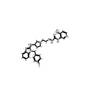 Nc1ccncc1NC(=O)NSCCN1CCC(Nc2nc3ccccc3n2Cc2ccc(F)cc2)C1